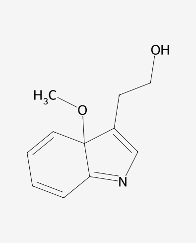 COC12C=CC=CC1=NC=C2CCO